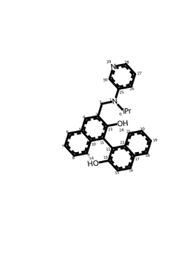 CC(C)N(Cc1cc2ccccc2c(-c2c(O)ccc3ccccc23)c1O)c1cccnc1